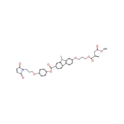 C=C(CC(=O)OCCC)C(=O)OCCCOc1ccc2c(c1)C(C)c1cc(C(=O)Oc3ccc(OCCCN4C(=O)C=CC4=O)cc3)ccc1-2